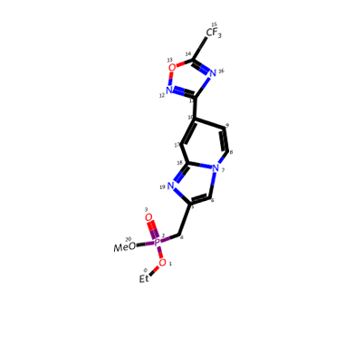 CCOP(=O)(Cc1cn2ccc(-c3noc(C(F)(F)F)n3)cc2n1)OC